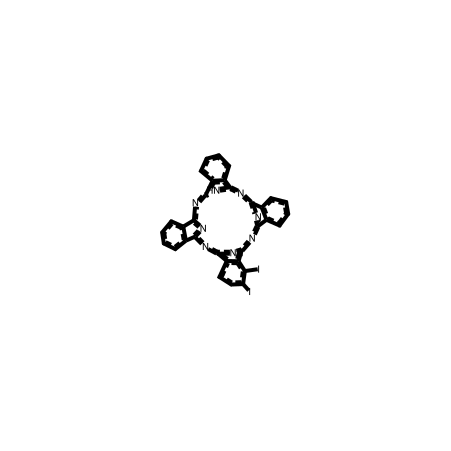 Ic1ccc2c3nc4nc(nc5[nH]c(nc6nc(nc([nH]3)c2c1I)-c1ccccc1-6)c1ccccc51)-c1ccccc1-4